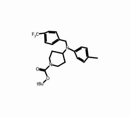 Cc1ccc(N(Cc2ccc(C(F)(F)F)cc2)C2CCN(C(=O)OC(C)(C)C)CC2)cc1